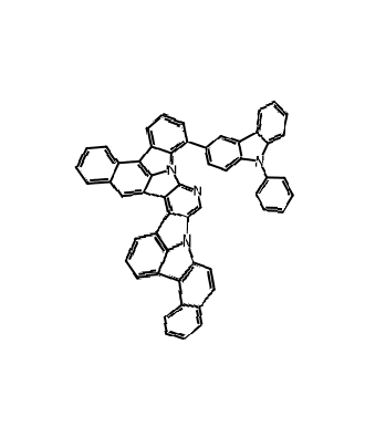 c1ccc(-n2c3ccccc3c3cc(-c4cccc5c6c7ccccc7cc7c8c9c%10cccc%11c%12c%13ccccc%13ccc%12n(c9cnc8n(c45)c76)c%11%10)ccc32)cc1